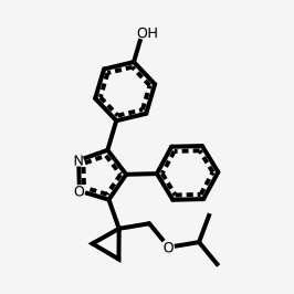 CC(C)OCC1(c2onc(-c3ccc(O)cc3)c2-c2ccccc2)CC1